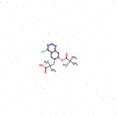 CC(C)(C)C(=O)Oc1cc2ncnc(Cl)c2cc1CC(C)(C)C(=O)O